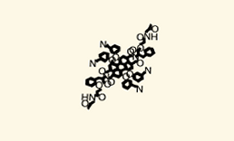 N#Cc1cccc(Oc2cc3c4c(cc(Oc5cccc(C#N)c5)c5c6c(Oc7cccc(C#N)c7)cc7c8c(cc(Oc9cccc(C#N)c9)c(c2c45)c86)C(=O)N(C(Cc2ccccc2)C(=O)OCCC(=O)NCC2CO2)C7=O)C(=O)N(C(Cc2ccccc2)C(=O)OCCC(=O)NCC2CO2)C3=O)c1